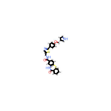 O=C(NCc1cnc(-c2ccc(OC[C@@H]3CCNC3)cc2)s1)c1ccc2c(c1)NC(=O)c1ccccc1S2